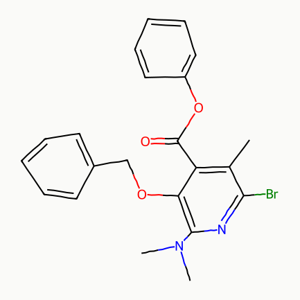 Cc1c(Br)nc(N(C)C)c(OCc2ccccc2)c1C(=O)Oc1ccccc1